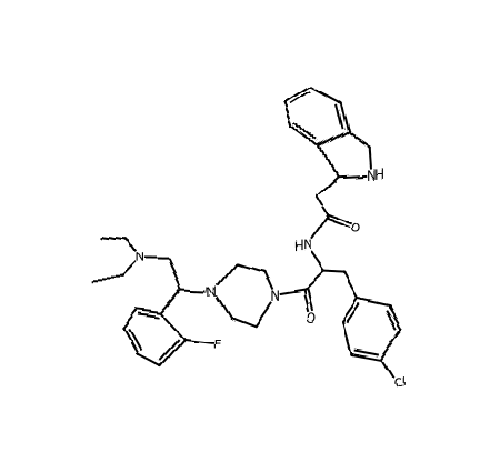 CCN(CC)CC(c1ccccc1F)N1CCN(C(=O)C(Cc2ccc(Cl)cc2)NC(=O)CC2NCc3ccccc32)CC1